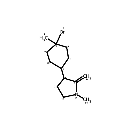 C=C1C(C2CCC(C)(Br)CC2)CCN1C